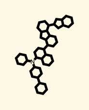 C1CCC(C2CCC(N(C3CCCCC3)C3CCC(C4CCCC5C4CC4CCCC(C6CC7CCCCC7C6)C45)C4CCCCC43)CC2)CC1